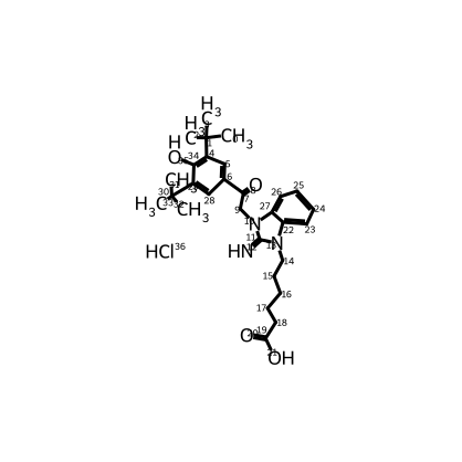 CC(C)(C)c1cc(C(=O)Cn2c(=N)n(CCCCCC(=O)O)c3ccccc32)cc(C(C)(C)C)c1O.Cl